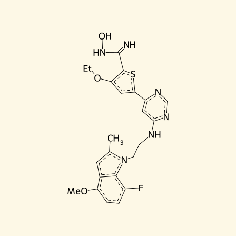 CCOc1cc(-c2cc(NCCn3c(C)cc4c(OC)ccc(F)c43)ncn2)sc1C(=N)NO